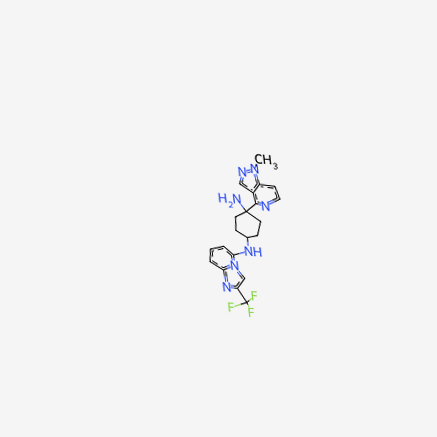 Cn1ncc2c(C3(N)CCC(Nc4cccc5nc(C(F)(F)F)cn45)CC3)nccc21